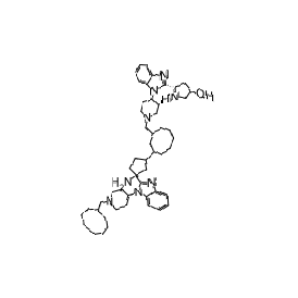 NC1(c2nc3ccccc3n2C2CCN(CC3CCCCCCC3)CC2)CCC(C2CCCCCC(CN3CCC(n4c([C@@H]5C[C@@H](O)CN5)nc5ccccc54)CC3)C2)C1